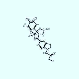 CCC(=O)NC1CCc2cc(C(=O)CC(C[N+](=O)[O-])(c3cc(Cl)c(Cl)c(Cl)c3)C(F)(F)F)ccc21